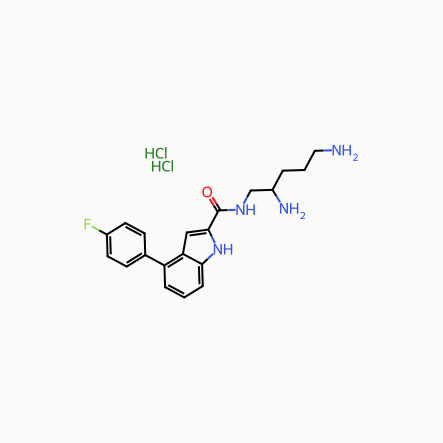 Cl.Cl.NCCCC(N)CNC(=O)c1cc2c(-c3ccc(F)cc3)cccc2[nH]1